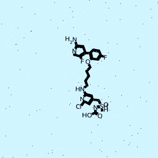 C[SH](O)(Cc1cc(Cl)nc(NCCCCCOc2cc(F)ccc2-c2cc(N)ncc2F)c1)=NC(=O)O